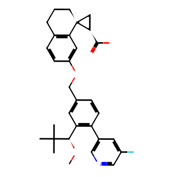 CO[C@H](c1cc(COc2ccc3c(c2)[C@]2(CCC3)C[C@H]2C(=O)O)ccc1-c1cncc(F)c1)C(C)(C)C